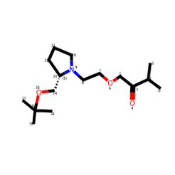 CC(C)C(=O)COCCN1CCC[C@H]1COC(C)(C)C